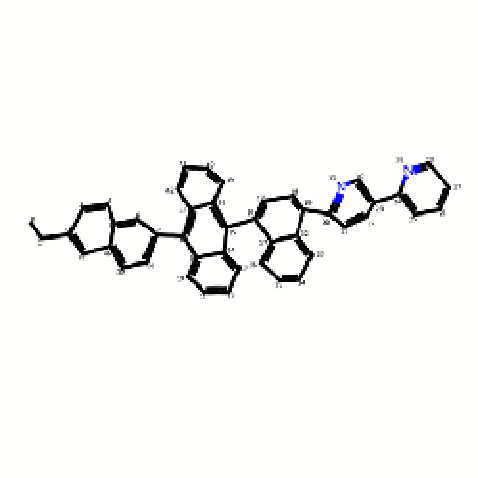 CCc1ccc2cc(-c3c4ccccc4c(-c4ccc(-c5ccc(-c6ccccn6)cn5)c5ccccc45)c4ccccc34)ccc2c1